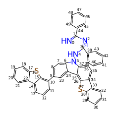 N=C(/N=C(\Nn1c2ccc(-c3cccc4c3sc3ccccc34)cc2c2c3sc4ccccc4c3ccc21)c1ccccc1)c1ccccc1